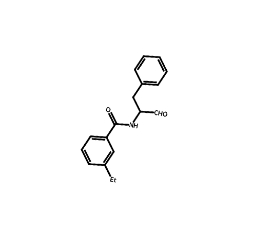 CCc1cccc(C(=O)NC(C=O)Cc2ccccc2)c1